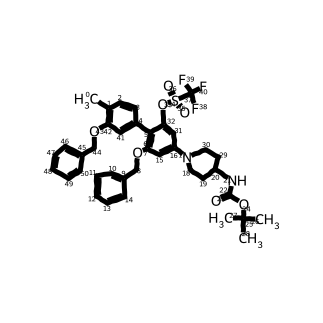 Cc1ccc(-c2c(OCc3ccccc3)cc(N3CCC(NC(=O)OC(C)(C)C)CC3)cc2OS(=O)(=O)C(F)(F)F)cc1OCc1ccccc1